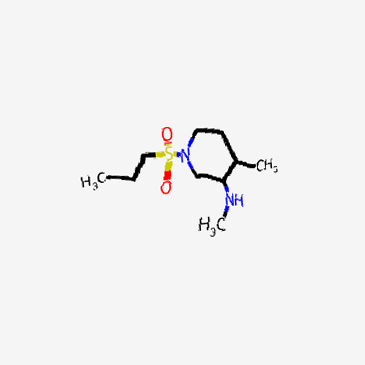 CCCS(=O)(=O)N1CCC(C)C(NC)C1